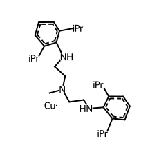 CC(C)c1cccc(C(C)C)c1NCCN(C)CCNc1c(C(C)C)cccc1C(C)C.[Cu]